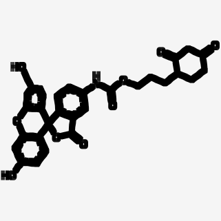 O=C1CCC(CCCOC(=O)Nc2ccc3c(c2)C(=O)OC32c3ccc(O)cc3Oc3cc(O)ccc32)C(=O)C1